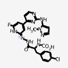 Cn1nccc1Nc1nccc(-c2cc(F)[nH]/c(=N/NC(=O)C(Cc3ccc(Cl)cc3)NC(=O)O)c2)n1